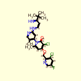 Cc1cnc(N/C=C\C(=N)C(C)(C)C)cc1-n1c(C)cc(OCc2ncc(F)cc2Cl)c(Cl)c1=O